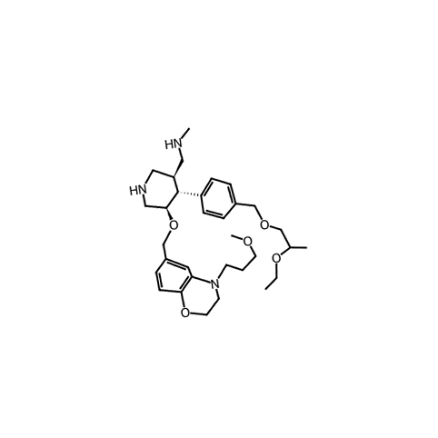 CCOC(C)COCc1ccc([C@H]2[C@H](CNC)CNC[C@@H]2OCc2ccc3c(c2)N(CCCOC)CCO3)cc1